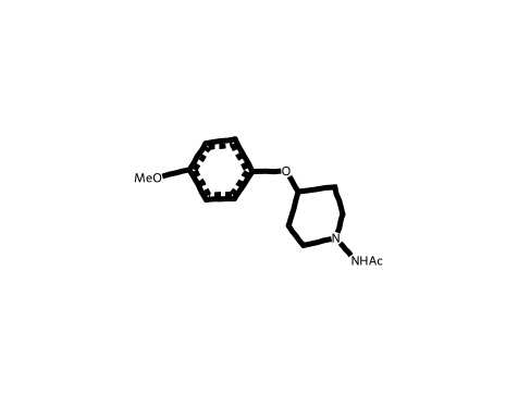 COc1ccc(OC2CCN(NC(C)=O)CC2)cc1